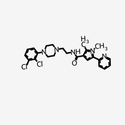 Cc1c(C(=O)NCCN2CCN(c3cccc(Cl)c3Cl)CC2)cc(-c2ccccn2)n1C